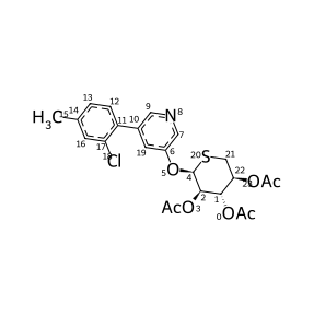 CC(=O)O[C@@H]1[C@@H](OC(C)=O)[C@@H](Oc2cncc(-c3ccc(C)cc3Cl)c2)SC[C@H]1OC(C)=O